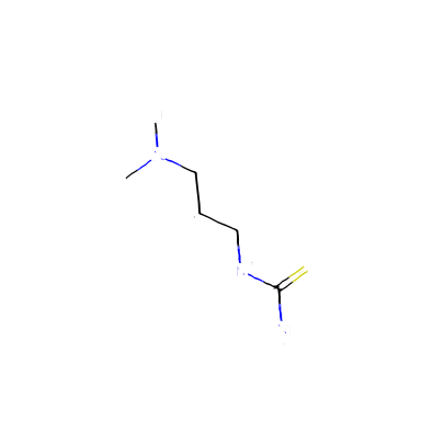 CCN(C)CCCNC(N)=S